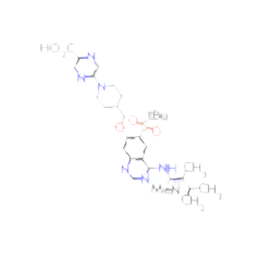 C=C(C)/C(C)=C(\NC)Nc1ncnc2cc(OCC3CCN(c4cnc(C(=O)O)cn4)CC3)c(S(=O)(=O)C(C)(C)C)cc12